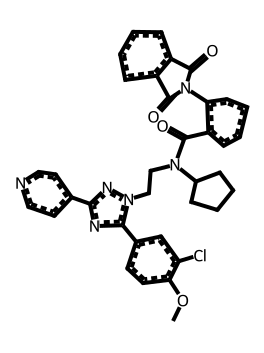 COc1ccc(-c2nc(-c3ccncc3)nn2CCN(C(=O)c2ccccc2N2C(=O)c3ccccc3C2=O)C2CCCC2)cc1Cl